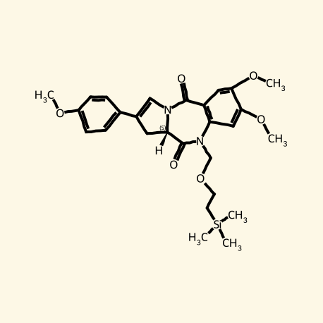 COc1ccc(C2=CN3C(=O)c4cc(OC)c(OC)cc4N(COCC[Si](C)(C)C)C(=O)[C@@H]3C2)cc1